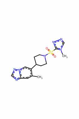 Cc1cc2ncnn2cc1C1CCN(S(=O)(=O)c2nncn2C)CC1